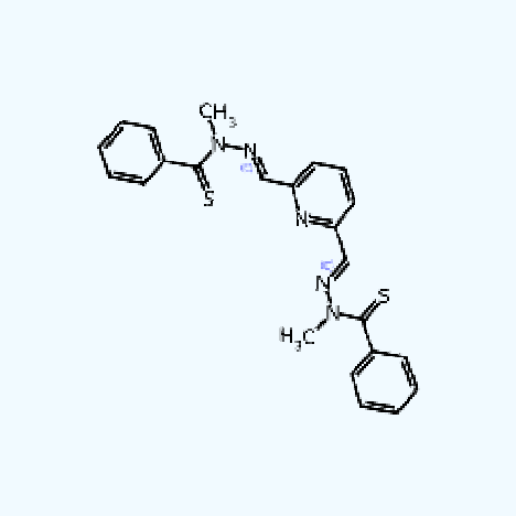 CN(/N=C/c1cccc(/C=N/N(C)C(=S)c2ccccc2)n1)C(=S)c1ccccc1